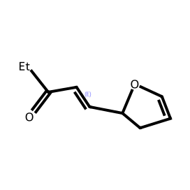 CCC(=O)/C=C/C1CC=CO1